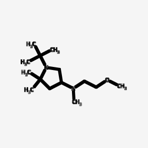 COCCN(C)C1CN(C(C)(C)C)C(C)(C)C1